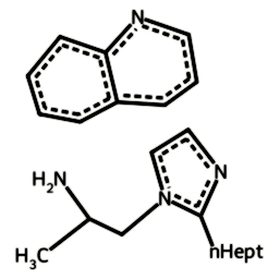 CCCCCCCc1nccn1CC(C)N.c1ccc2ncccc2c1